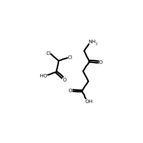 NCC(=O)CCC(=O)O.O=C(O)C(Cl)Cl